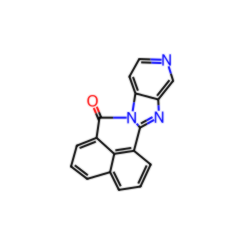 O=c1c2cccc3cccc(c32)c2nc3cnccc3n12